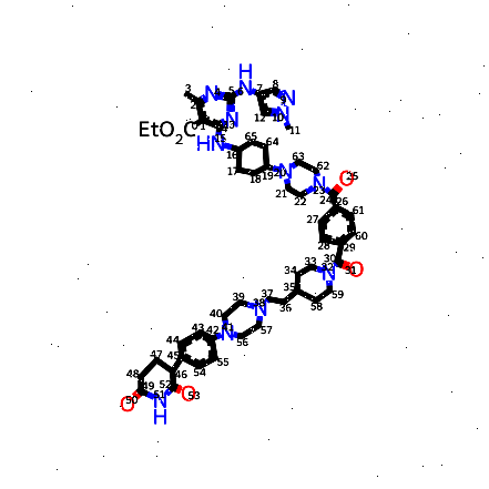 CCOC(=O)c1c(C)nc(Nc2cnn(C)c2)nc1NC1CCC(N2CCN(C(=O)c3ccc(C(=O)N4CCC(CCN5CCN(c6ccc(C7CCC(=O)NC7=O)cc6)CC5)CC4)cc3)CC2)CC1